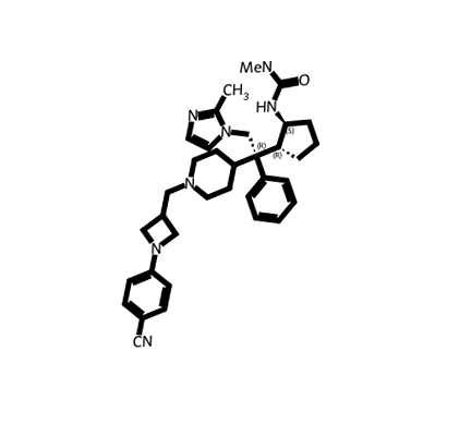 CNC(=O)N[C@H]1CCC[C@@H]1[C@@](Cn1ccnc1C)(c1ccccc1)C1CCN(CC2CN(c3ccc(C#N)cc3)C2)CC1